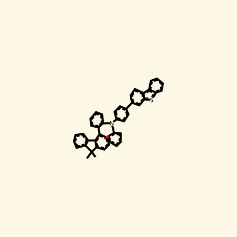 CC1(C)c2ccccc2-c2c(-c3ccccc3N(c3ccccc3)c3ccc(-c4ccc5c(c4)sc4ccccc45)cc3)cccc21